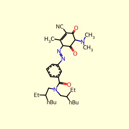 CCCCC(CC)CN(CC(CC)CCCC)C(=O)c1cccc(/N=N/C2C(=O)C(N(C)C)C(=O)C(C#N)=C2C)c1